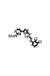 CNc1nccc(-c2ccc(CNCCc3cccc(Cl)c3Cl)s2)n1